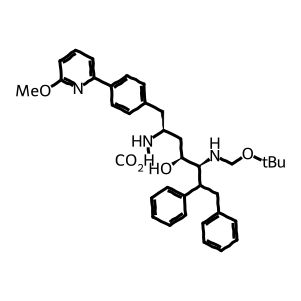 COc1cccc(-c2ccc(C[C@@H](C[C@H](O)[C@@H](NCOC(C)(C)C)C(Cc3ccccc3)c3ccccc3)NC(=O)O)cc2)n1